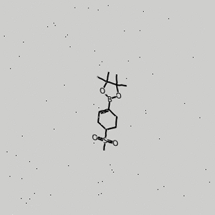 CC1(C)OB(C2=CCC(S(C)(=O)=O)CC2)OC1(C)C